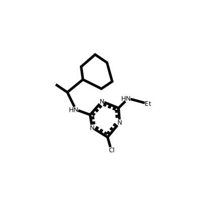 CCNc1nc(Cl)nc(NC(C)C2CCCCC2)n1